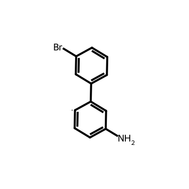 Nc1cc[c]c(-c2cccc(Br)c2)c1